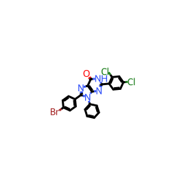 O=c1[nH]c(-c2ccc(Cl)cc2Cl)nc2c1nc(-c1ccc(Br)cc1)n2-c1ccccc1